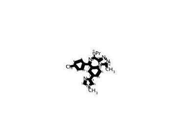 CCC[C@@H]1N=C(c2ccc(Cl)cc2)c2cc(-c3cn(C)cn3)ccc2-n2c(C)nnc21